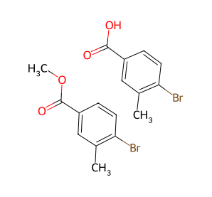 COC(=O)c1ccc(Br)c(C)c1.Cc1cc(C(=O)O)ccc1Br